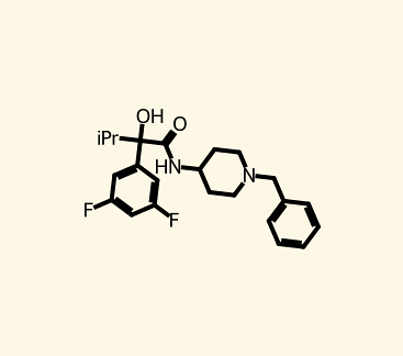 CC(C)C(O)(C(=O)NC1CCN(Cc2ccccc2)CC1)c1cc(F)cc(F)c1